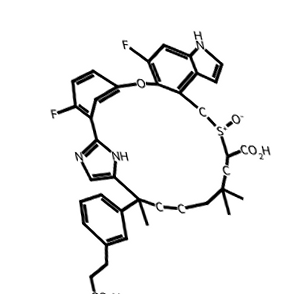 CC1(C)CCCC(C)(c2cccc(CCC(=O)O)c2)c2cnc([nH]2)-c2cc(ccc2F)Oc2c(F)cc3[nH]ccc3c2C[S+]([O-])C(C(=O)O)C1